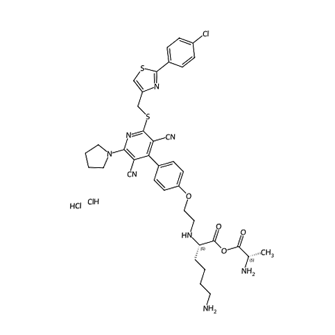 C[C@H](N)C(=O)OC(=O)[C@H](CCCCN)NCCOc1ccc(-c2c(C#N)c(SCc3csc(-c4ccc(Cl)cc4)n3)nc(N3CCCC3)c2C#N)cc1.Cl.Cl